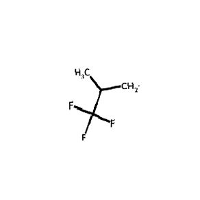 [CH2]C(C)C(F)(F)F